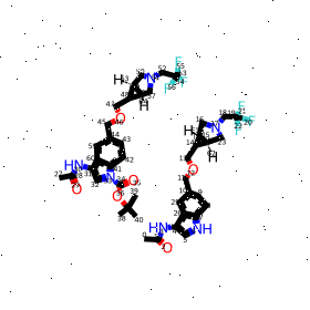 CC(=O)Nc1c[nH]c2ccc(COCC3[C@H]4CN(CC(F)(F)F)C[C@@H]34)cc12.CC(=O)Nc1cn(C(=O)OC(C)(C)C)c2ccc(COCC3[C@H]4CN(CC(F)(F)F)C[C@@H]34)cc12